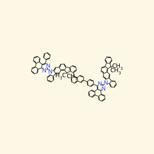 CC1(C)c2ccccc2-c2ccc3cc4c(cc3c21)c1ccccc1n4-c1nc(-c2ccc(-c3ccc4c(-c5cccc6c5C(C)(C)c5c-6ccc6cc7c(cc56)c5ccccc5n7-c5nc(-c6ccccc6)c6c7ccccc7c7ccccc7c6n5)cccc4c3)cc2)c2c3ccccc3c3ccccc3c2n1